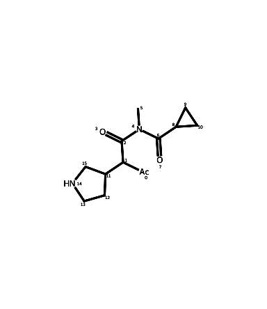 CC(=O)C(C(=O)N(C)C(=O)C1CC1)C1CCNC1